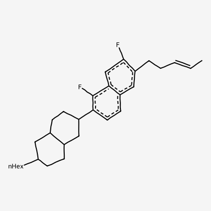 C/C=C/CCc1cc2ccc(C3CCC4CC(CCCCCC)CCC4C3)c(F)c2cc1F